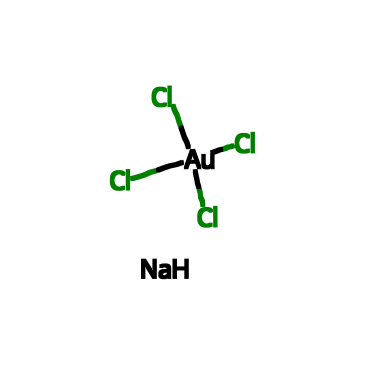 [Cl][Au]([Cl])([Cl])[Cl].[NaH]